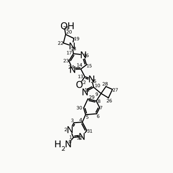 Nc1ncc(-c2ccc(C3(c4noc(-c5cnc(N6CC(O)C6)cn5)n4)CCC3)cc2)cn1